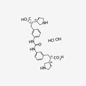 Cl.Cl.O=C(Nc1cccc(C[C@H](C(=O)O)[C@H]2CCNC2)c1)Nc1cccc(C[C@H](C(=O)O)[C@H]2CCNC2)c1